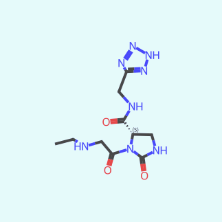 CCNCC(=O)N1C(=O)NC[C@H]1C(=O)NCc1nn[nH]n1